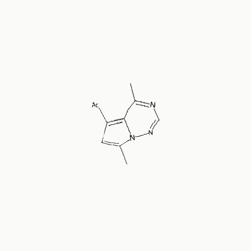 CC(=O)c1cc(C)n2ncnc(C)c12